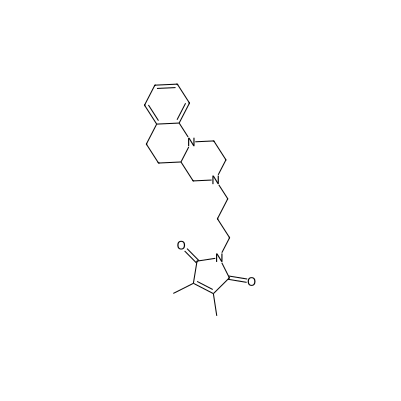 CC1=C(C)C(=O)N(CCCN2CCN3c4ccccc4CCC3C2)C1=O